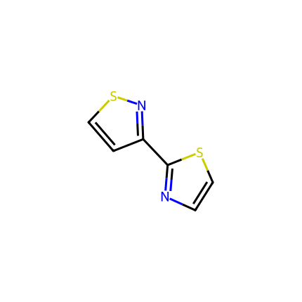 c1csc(-c2ccsn2)n1